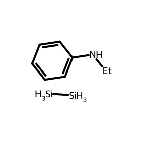 CCNc1ccccc1.[SiH3][SiH3]